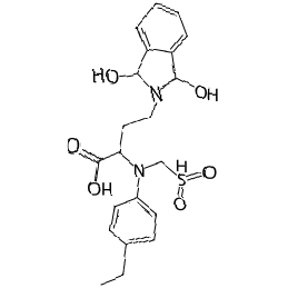 CCc1ccc(N(C[SH](=O)=O)C(CCN2C(O)c3ccccc3C2O)C(=O)O)cc1